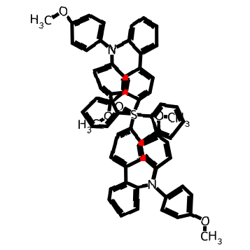 COc1ccc(N(c2ccc(OC)cc2)c2ccccc2-c2ccc3c(c2)-c2ccccc2S32(=O)c3ccccc3-c3cc(-c4ccccc4N(c4ccc(OC)cc4)c4ccc(OC)cc4)ccc32)cc1